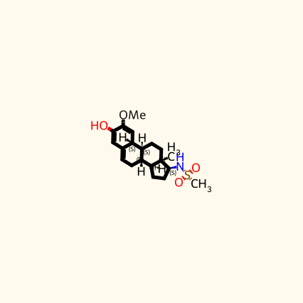 COC1=C[C@H]2C(=CC[C@@H]3[C@@H]2CC[C@]2(C)[C@@H](NS(C)(=O)=O)CC[C@@H]32)C=C1O